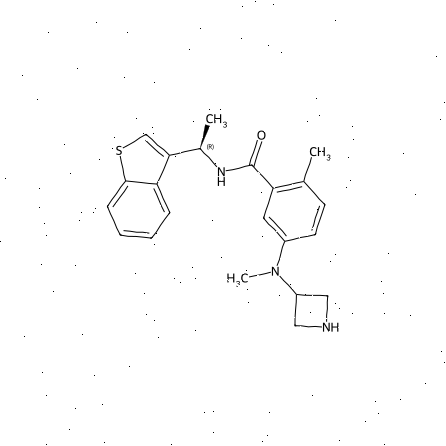 Cc1ccc(N(C)C2CNC2)cc1C(=O)N[C@H](C)c1csc2ccccc12